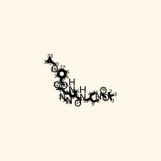 CC(C)(C)OC(=O)N1CCC(CNC(=O)c2c[nH]c3c(C4=COC(c5cccc(OCC6CC6)c5)O4)ncnc23)CC1